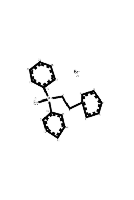 CC[P+](CCc1ccccc1)(c1ccccc1)c1ccccc1.[Br-]